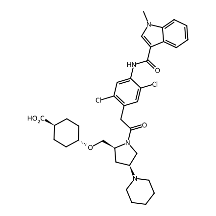 Cn1cc(C(=O)Nc2cc(Cl)c(CC(=O)N3C[C@@H](N4CCCCC4)C[C@H]3CO[C@H]3CC[C@H](C(=O)O)CC3)cc2Cl)c2ccccc21